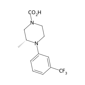 C[C@@H]1CN(C(=O)O)CCN1c1cccc(C(F)(F)F)c1